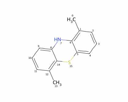 Cc1cccc2c1Nc1cccc(C)c1S2